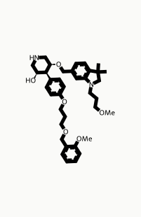 COCCCN1CC(C)(C)c2ccc(CO[C@H]3CNC[C@@H](O)[C@@H]3c3ccc(OCCCOCc4ccccc4OC)cc3)cc21